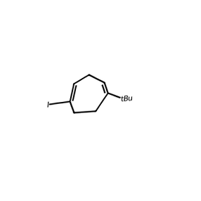 CC(C)(C)C1=CCC=C(I)CC1